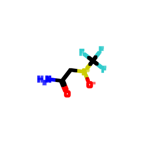 NC(=O)C[S+]([O-])C(F)(F)F